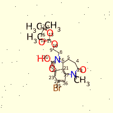 CN1C(=O)CCC(N(CCOC(=O)OC(C)(C)C)C(=O)O)c2ccc(Br)cc21